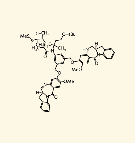 COc1cc2c(cc1OCc1cc(COc3cc4c(cc3OC)C(=O)N3c5ccccc5C[C@H]3CN4)cc(N(C(=O)C(C)CC(C)C(C)(C)SSC)C(C)(C)CCOC(C)(C)C)c1)N=C[C@@H]1Cc3ccccc3N1C2=O